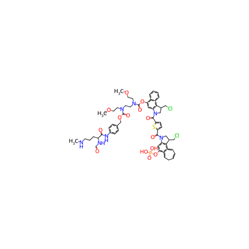 CNCCCC(NC=O)C(=O)Nc1ccc(COC(=O)N(CCOC)CCN(CCOC)C(=O)Oc2cc3c(c4ccccc24)C(CCl)CN3C(=O)c2ccc(C(=O)N3CC(CCl)c4c3cc(OP(=O)(O)O)c3c4=CC=CCC=3)s2)cc1